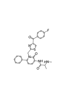 CNC(C)C(=O)Nc1ccc(-c2ccccc2)n(Cc2nc(C(=O)c3ccc(F)cc3)cs2)c1=O